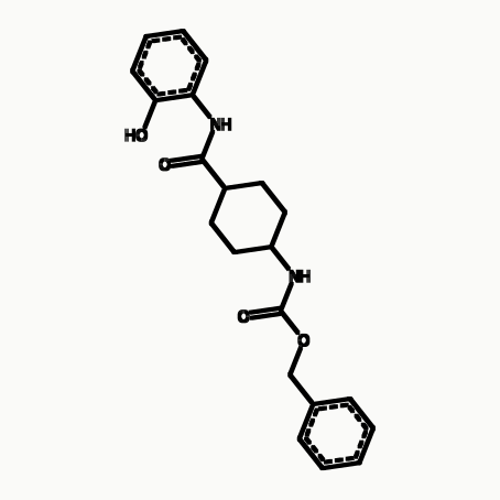 O=C(NC1CCC(C(=O)Nc2ccccc2O)CC1)OCc1ccccc1